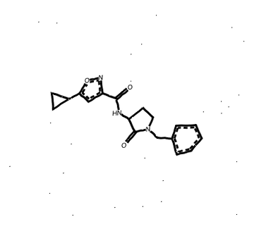 O=C(NC1CCN(Cc2ccccc2)C1=O)c1cc(C2CC2)on1